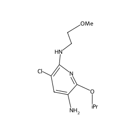 COCCNc1nc(OC(C)C)c(N)cc1Cl